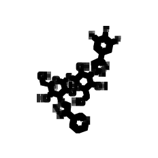 OCC1OC(S[C@@H]2O[C@H](CO)C(O)C(n3cc(-c4cccnc4)nn3)C2O)C(O)C(n2cc(-c3cc(F)c(F)c(F)c3)nn2)C1O